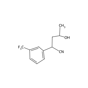 CC(O)CC(C#N)c1cccc(C(F)(F)F)c1